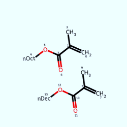 C=C(C)C(=O)OCCCCCCCC.C=C(C)C(=O)OCCCCCCCCCC